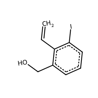 C=Cc1c(I)cccc1CO